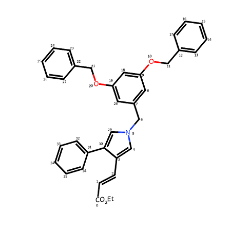 CCOC(=O)/C=C/c1cn(Cc2cc(OCc3ccccc3)cc(OCc3ccccc3)c2)cc1-c1ccccc1